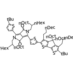 CCCCCCCCCCCCc1c(-c2ccc(C3=C4C(=O)N(CC(CCCCCC)CCCCCCCC)C(c5ccc(C(C)(C)C)s5)=C4C(=O)N3CC(CCCCCC)CCCCCCCC)s2)sc2c1C(CCCCCCCC)(CCCCCCCC)c1c-2sc(C(C)(C)C)c1CCCCCCCCCCCC